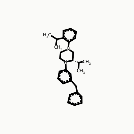 CC(C)c1ccccc1N1CCN(c2cccc(Cc3ccccc3)c2)[C@@H](C(C)C)C1